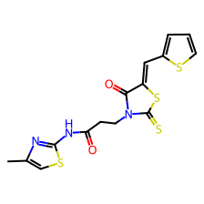 Cc1csc(NC(=O)CCN2C(=O)/C(=C/c3cccs3)SC2=S)n1